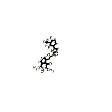 CC1C(=O)c2c(CC(=O)Nc3nc(-c4ccc(F)c(C(F)(F)F)c4F)cs3)cncc2C(C)[NH+]1[O-]